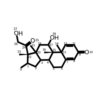 CC1CC2C3CCC4=CC(=O)C=CC4(C)[C@@]3(C)C(O)CC2(C)[C@@]1(C)C(=O)CO